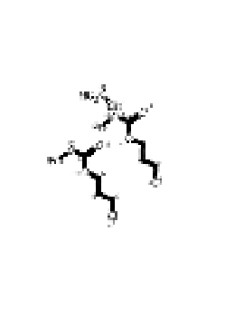 CC(C)OC(=O)OCCCCl.CC(C)OC(=O)OCCCCl.O=C(O)O